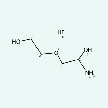 F.NC(O)COCCO